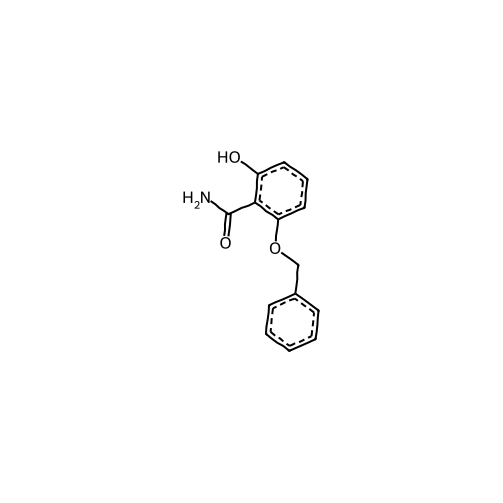 NC(=O)c1c(O)cccc1OCc1ccccc1